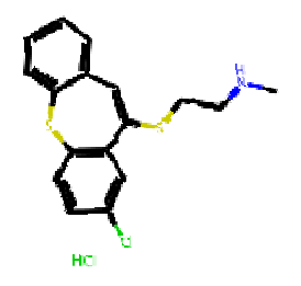 CNCCSC1=Cc2ccccc2Sc2ccc(Cl)cc21.Cl